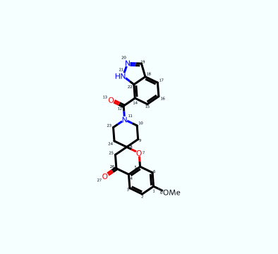 COc1ccc2c(c1)OC1(CCN(C(=O)c3cccc4cn[nH]c34)CC1)CC2=O